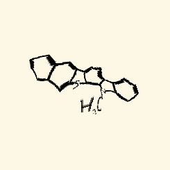 Cn1c2ccccc2c2ccc3c4cc5ccccc5cc4sc3c21